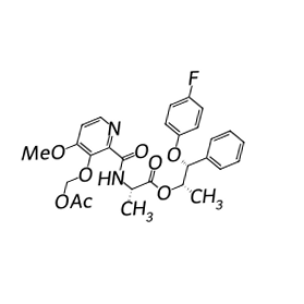 COc1ccnc(C(=O)N[C@@H](C)C(=O)O[C@@H](C)[C@H](Oc2ccc(F)cc2)c2ccccc2)c1OCOC(C)=O